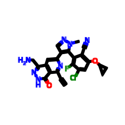 C#Cc1nc(-c2cnn(C)c2-c2c(F)c(Cl)cc(OC3CC3)c2C#N)cc2c(CN)n[nH]c(=O)c12